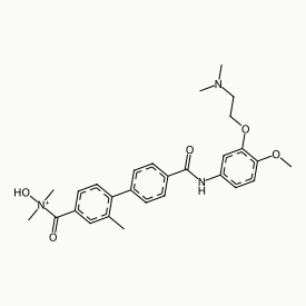 COc1ccc(NC(=O)c2ccc(-c3ccc(C(=O)[N+](C)(C)O)cc3C)cc2)cc1OCCN(C)C